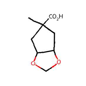 CC1(C(=O)O)CC2OCOC2C1